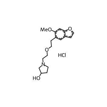 COc1cc2occc2cc1CCOCCN1CCC(O)C1.Cl